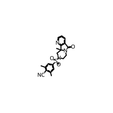 Cc1cc(S(=O)(=O)N2CCN3C(=O)c4cccnc4C3(C)C2)cc(C)c1C#N